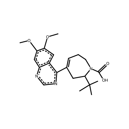 COc1cc2ncnc(C3=CCCN(C(=O)O)C(C(C)(C)C)C3)c2cc1OC